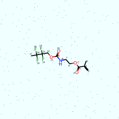 C=C(C)C(=O)OCCNC(=O)OCC(F)(F)C(C)(F)F